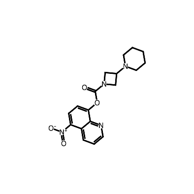 O=C(Oc1ccc([N+](=O)[O-])c2cccnc12)N1CC(N2CCCCC2)C1